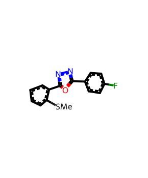 CSc1ccccc1-c1nnc(-c2ccc(F)cc2)o1